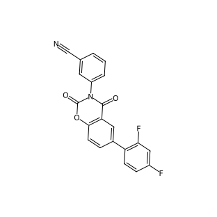 N#Cc1cccc(-n2c(=O)oc3ccc(-c4ccc(F)cc4F)cc3c2=O)c1